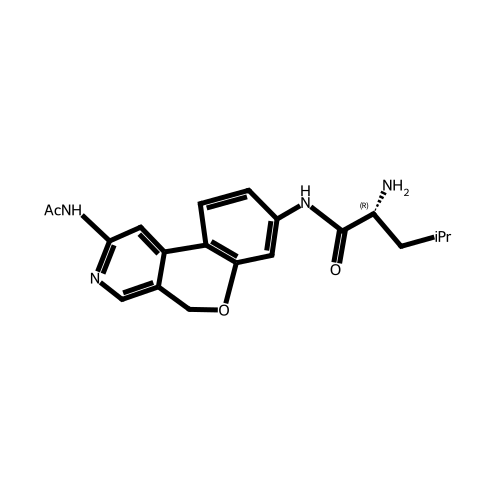 CC(=O)Nc1cc2c(cn1)COc1cc(NC(=O)[C@H](N)CC(C)C)ccc1-2